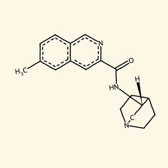 Cc1ccc2cnc(C(=O)N[C@H]3CN4CCC3CC4)cc2c1